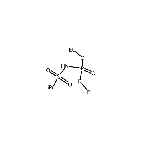 CCOP(=O)(NS(=O)(=O)C(C)C)OCC